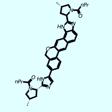 CCCC(=O)N1C[C@@H](C)CC1c1nc2ccc3cc4c(cc3c2[nH]1)OCc1cc(-c2cnc([C@@H]3C[C@H](C)CN3C(=O)CCC)[nH]2)ccc1-4